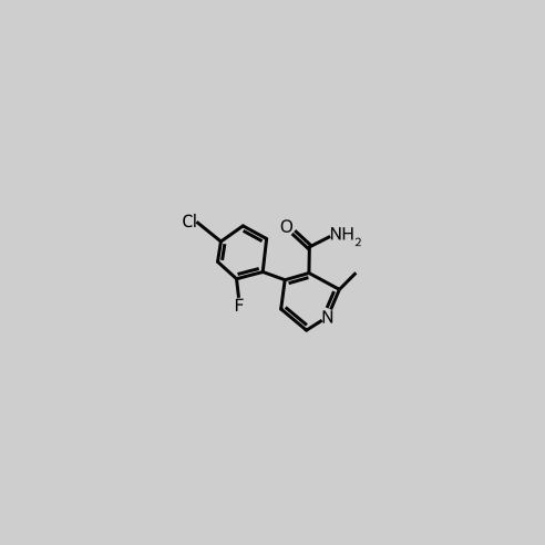 Cc1nccc(-c2ccc(Cl)cc2F)c1C(N)=O